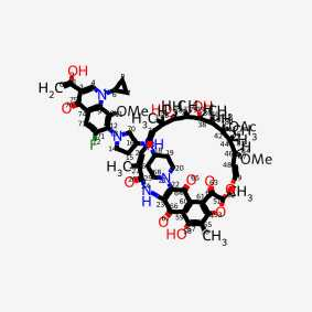 C=C(O)c1cn(C2CC2)c2c(OC)c(N3CCC(NC4CCN(C5=C6NC(=O)/C(C)=C\C=C\[C@H](C)[C@H](O)[C@@H](C)[C@@H](O)[C@@H](C)[C@H](OC(C)=O)[C@H](C)[C@@H](OC)/C=C/O[C@@]7(C)Oc8c(C)c(O)c(c(c8C7=O)C5=O)C6=O)CC4)C3)c(F)cc2c1=O